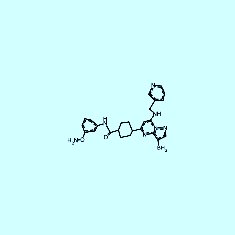 Bc1cnn2c(NCc3cccnc3)cc(C3CCC(C(=O)Nc4cccc(ON)c4)CC3)nc12